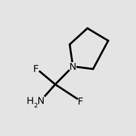 NC(F)(F)N1CCCC1